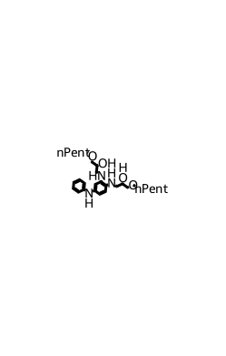 CCCCCOCC(O)CNc1ccc(Nc2ccccc2)cc1NCC(O)COCCCCC